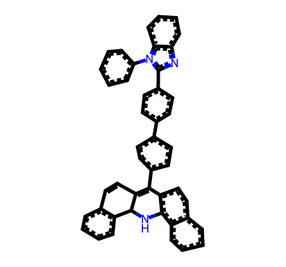 C1=Cc2ccccc2C2Nc3c(ccc4ccccc34)C(c3ccc(-c4ccc(-c5nc6ccccc6n5-c5ccccc5)cc4)cc3)=C12